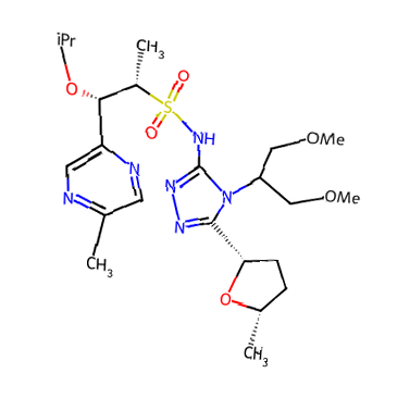 COCC(COC)n1c(NS(=O)(=O)[C@@H](C)[C@@H](OC(C)C)c2cnc(C)cn2)nnc1[C@@H]1CC[C@H](C)O1